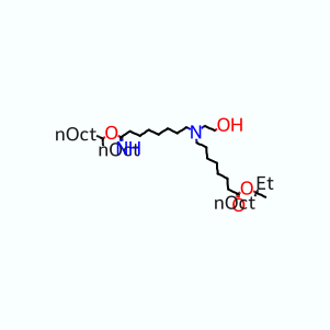 CCCCCCCCC(CCCCCCCC)OC(=N)CCCCCCCN(CCO)CCCCCCCC(=O)OC(C)(CC)CCCCCCCC